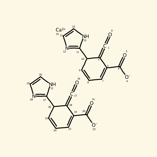 O=C=C1C(C(=O)[O-])=CC=CC1c1ncc[nH]1.O=C=C1C(C(=O)[O-])=CC=CC1c1ncc[nH]1.[Ca+2]